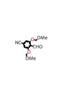 COCOc1cc(C#N)cc(OCOC)c1C=O